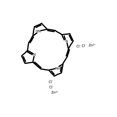 C1=Cc2cc3ccc(cc4nc(cc5ccc(cc1n2)[nH]5)C=C4)[nH]3.[Cl-].[Cl-].[Cl-].[Cl-].[Zn+2].[Zn+2]